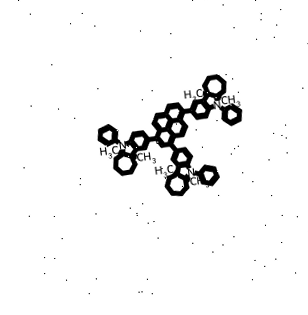 CC12CCCCCC1(C)N(c1ccccc1)c1ccc(-c3ccc4ccc5c(-c6ccc7c(c6)C6(C)CCCCCC6(C)N7c6ccccc6)cc(-c6ccc7c(c6)C6(C)CCCCCC6(C)N7c6ccccc6)c6ccc3c4c56)cc12